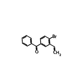 C=Cc1cc(C(=O)c2ccccc2)ccc1Br